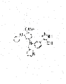 COc1ccc(N(Cc2cccnc2)c2cccc(-c3cn[nH]c3O)c2)cc1OC1CCCC1